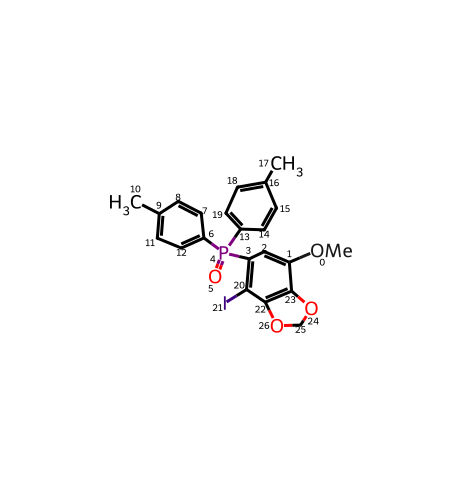 COc1cc(P(=O)(c2ccc(C)cc2)c2ccc(C)cc2)c(I)c2c1OCO2